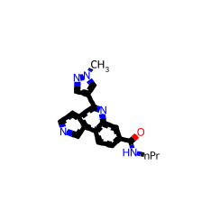 CCCNC(=O)c1ccc2c(c1)nc(-c1cnn(C)c1)c1ccncc12